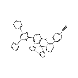 N#Cc1ccc(-c2cccc3c2Sc2ccc(-c4nc(-c5ccccc5)cc(-c5ccccc5)n4)cc2C32c3ccccc3-c3ccccc32)cc1